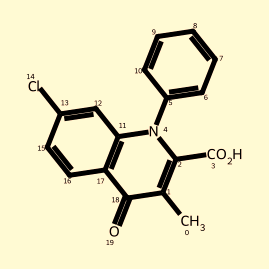 Cc1c(C(=O)O)n(-c2ccccc2)c2cc(Cl)ccc2c1=O